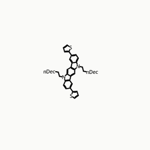 CCCCCCCCCCCCn1c2ccc(-c3cccs3)cc2c2cc3c(cc21)c1cc(-c2cccs2)ccc1n3CCCCCCCCCCCC